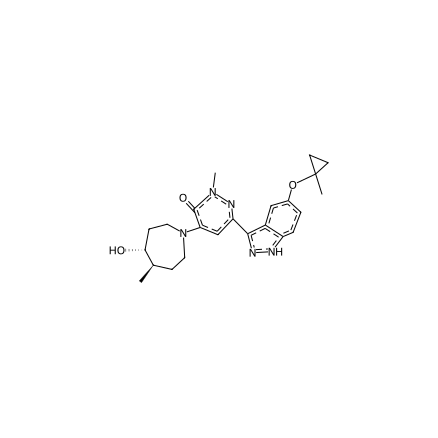 C[C@@H]1CCN(c2cc(-c3n[nH]c4ccc(OC5(C)CC5)cc34)nn(C)c2=O)CC[C@H]1O